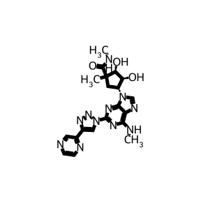 CNC(=O)C1(C)C[C@@H](n2cnc3c(NC)nc(-n4cc(-c5cnccn5)nn4)nc32)[C@H](O)[C@@H]1O